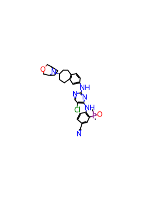 CP(C)(=O)c1cc(C#N)ccc1Nc1nc(Nc2ccc3c(c2)CC[C@@H](N2C4CCC2COC4)CC3)ncc1Cl